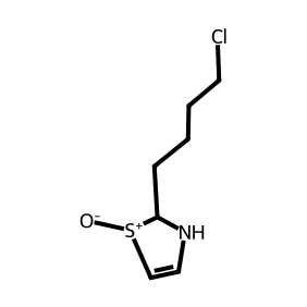 [O-][S+]1C=CNC1CCCCCl